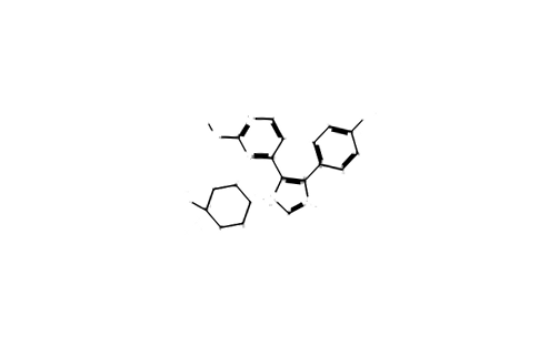 COc1nccc(-c2c(-c3ccc(F)cc3)ncn2[C@H]2CC[C@](C)(O)CC2)n1